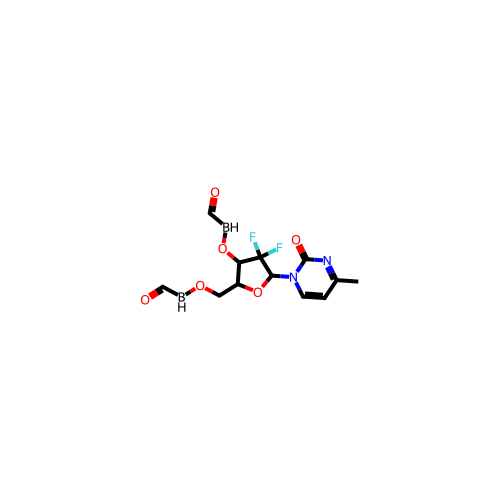 Cc1ccn(C2OC(COBC=O)C(OBC=O)C2(F)F)c(=O)n1